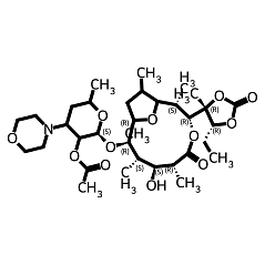 CC[C@H]1OC(=O)O[C@@]1(C)[C@@H]1OC(=O)[C@H](C)[C@@H](O)[C@H](C)[C@@H](O[C@@H]2OC(C)CC(N3CCOCC3)C2OC(C)=O)[C@@]2(C)CC(C)C(O2)[C@@H]1C